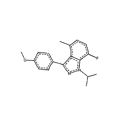 COc1ccc(-c2nn(C(C)C)c3c(F)ccc(C)c23)cc1